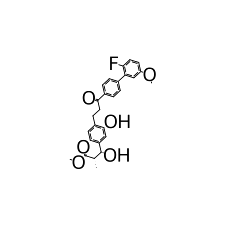 COC(=O)[C@@H](C)[C@@H](O)c1ccc(CCC(=O)c2ccc(-c3cc(OC)ccc3F)cc2)c(O)c1